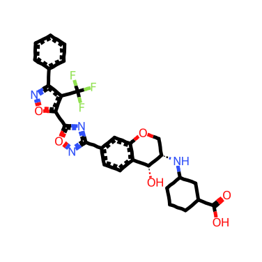 O=C(O)C1CCCC(N[C@H]2COc3cc(-c4noc(-c5onc(-c6ccccc6)c5C(F)(F)F)n4)ccc3[C@H]2O)C1